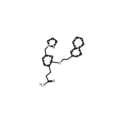 NC(=O)CCc1ccc(Cn2cccn2)cc1OCCc1ccc2ccccc2c1